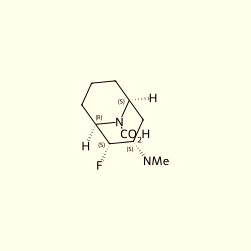 CN[C@H]1C[C@@H]2CCC[C@H]([C@H]1F)N2C(=O)O